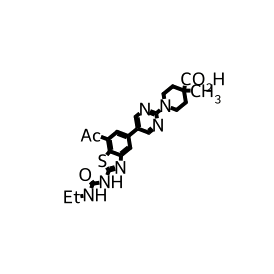 CCNC(=O)Nc1nc2cc(-c3cnc(N4CCC(C)(C(=O)O)CC4)nc3)cc(C(C)=O)c2s1